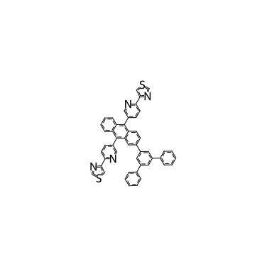 c1ccc(-c2cc(-c3ccccc3)cc(-c3ccc4c(-c5ccc(-c6cscn6)nc5)c5ccccc5c(-c5ccc(-c6cscn6)nc5)c4c3)c2)cc1